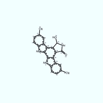 N#Cc1ccc2[nH]c3c4[nH]c5ccc(C#N)cc5c4c4c(c3c2c1)C(=O)NC4O